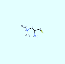 CN(C)CC(N)[C]=S